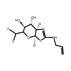 C=CCNC1=N[C@@H]2[C@@H](O)[C@H](O)C(C(F)F)O[C@@H]2S1